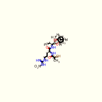 CC(C)C[C@H](NC(=O)[C@H](CCCNC(=N)N[N+](=O)[O-])NC(=O)C(C)S)B1O[C@@H]2C[C@@H]3C[C@@H](C3(C)C)[C@]2(C)O1